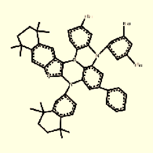 CC(C)(C)c1cc(N2c3cc(C(C)(C)C)ccc3B3c4c2cc(-c2ccccc2)cc4N(c2ccc4c(c2)C(C)(C)CCC4(C)C)c2sc4cc5c(cc4c23)C(C)(C)CCC5(C)C)cc(C(C)(C)C)c1